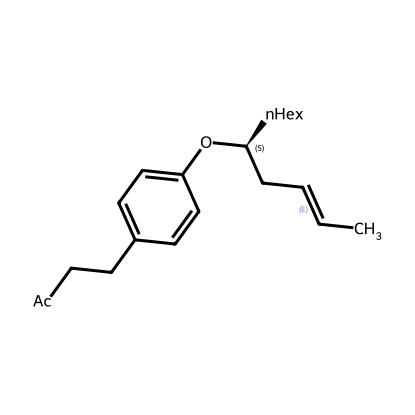 C/C=C/C[C@H](CCCCCC)Oc1ccc(CCC(C)=O)cc1